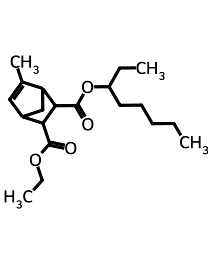 CCCCCC(CC)OC(=O)C1C2CC(C=C2C)C1C(=O)OCC